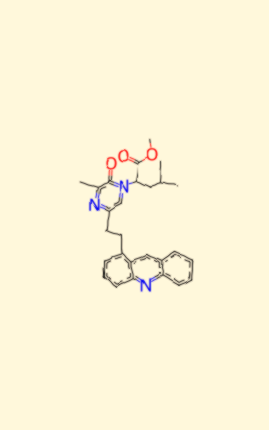 COC(=O)C(CC(C)C)n1cc(CCc2cccc3nc4ccccc4cc23)nc(C)c1=O